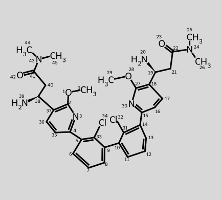 COc1nc(-c2cccc(-c3cccc(-c4ccc([C@@H](N)CC(=O)N(C)C)c(OC)n4)c3Cl)c2Cl)ccc1[C@@H](N)CC(=O)N(C)C